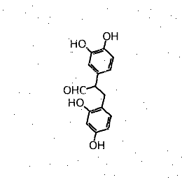 O=CC(Cc1ccc(O)cc1O)c1ccc(O)c(O)c1